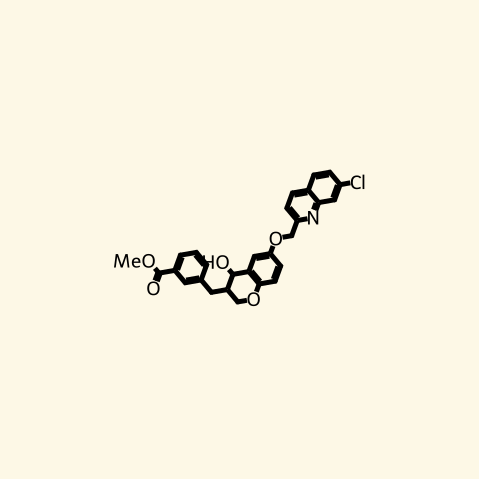 COC(=O)c1cccc(CC2COc3ccc(OCc4ccc5ccc(Cl)cc5n4)cc3C2O)c1